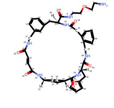 NCCOCCNC(=O)[C@@H]1Cc2cccc(c2)CNC(=O)/C=C/C(=O)N[C@H]2CC[C@H](CC2)C(=O)N[C@@H](Cc2ccco2)C(=O)NCc2ccccc2CC(=O)N1